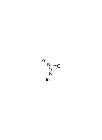 N1=NO1.[In].[Zn]